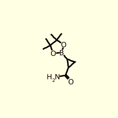 CC1(C)OB(C2CC2C(N)=O)OC1(C)C